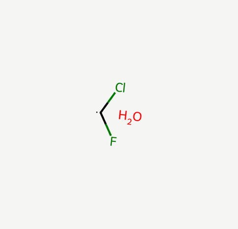 F[CH]Cl.O